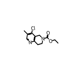 CCOC(=O)N1CCc2ncc(C)c(Cl)c2C1